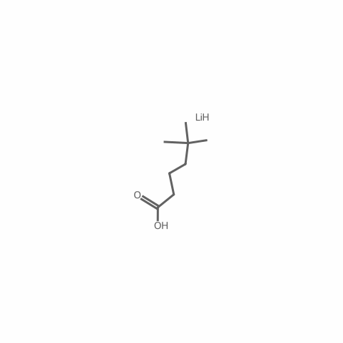 CC(C)(C)CCCC(=O)O.[LiH]